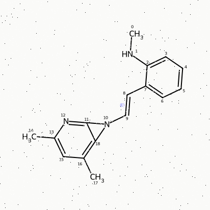 CNc1ccccc1/C=C/N1c2nc(C)cc(C)c21